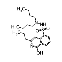 CCCCN(CCCC)NS(=O)(=O)c1cccc2c(O)nc(CCC)cc12